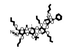 CCCCOC[C@H]1O[C@H](OC)C(O[C@@H]2O[C@H](C)[C@H](O[C@@H]3OC[C@@H](OCCCC)C(O[C@@H]4OC[C@]5(COCCCC)O[C@@H](c6ccccc6)OC45)C3OCCCC)C3OC(C)(C)OC32)C(OCCCC)[C@H]1N=[N+]=[N-]